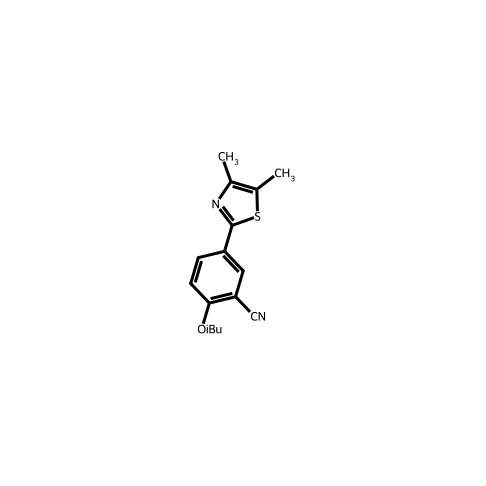 Cc1nc(-c2ccc(OCC(C)C)c(C#N)c2)sc1C